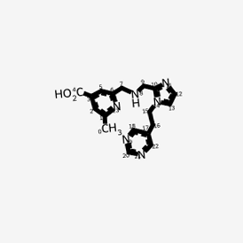 Cc1cc(C(=O)O)cc(CNCc2nccn2CCc2cncnc2)n1